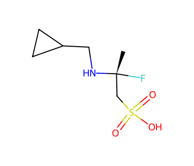 C[C@@](F)(CS(=O)(=O)O)NCC1CC1